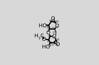 COC1C(OC2C(O)C3OC3O[C@H]2I)OC2OC2C1O